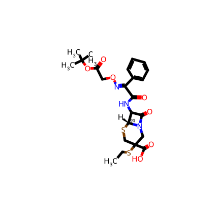 CCSC1(C(=O)O)CS[C@@H]2C(NC(=O)C(=NOCC(=O)OC(C)(C)C)c3ccccc3)C(=O)N2C1